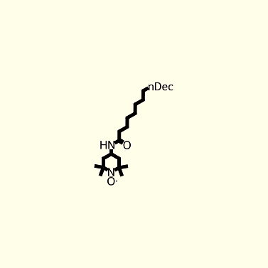 CCCCCCCCCCCCCCCCCC(=O)NC1CC(C)(C)N([O])C(C)(C)C1